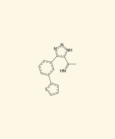 CC(=N)c1[nH]nnc1-c1cccc(-c2cccs2)c1